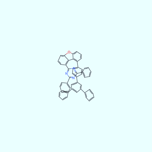 c1ccc(-c2cc(-c3ccccc3)cc(-c3ccc(-c4cccc5oc6cccc(-c7nc(-c8ccccc8)nc(-c8ccccc8)n7)c6c45)cc3)c2)cc1